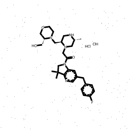 C[C@@H]1CN(CC(=O)N2CC(C)(C)c3ncc(Cc4ccc(F)cc4)cc32)[C@@H](CN2CCOC[C@H]2CO)CN1.Cl.Cl